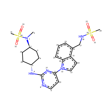 CN([C@H]1CC[C@H](Nc2nccc(-n3ccc4c(CNS(C)(=O)=O)cccc43)n2)CC1)S(C)(=O)=O